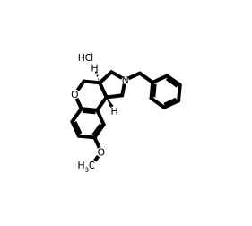 COc1ccc2c(c1)[C@H]1CN(Cc3ccccc3)C[C@@H]1CO2.Cl